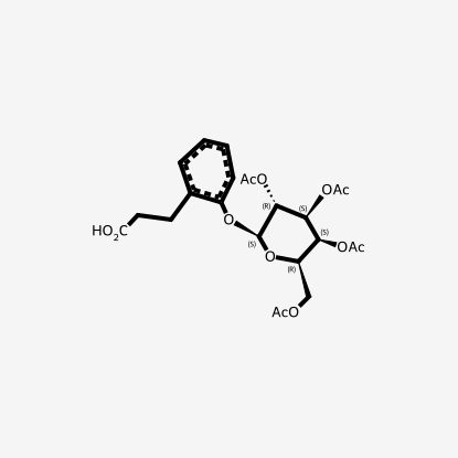 CC(=O)OC[C@H]1O[C@@H](Oc2ccccc2CCC(=O)O)[C@H](OC(C)=O)[C@@H](OC(C)=O)[C@H]1OC(C)=O